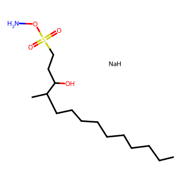 CCCCCCCCCCC(C)C(O)CCS(=O)(=O)ON.[NaH]